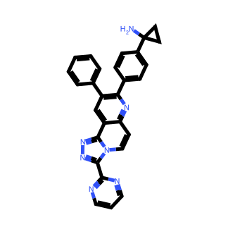 NC1(c2ccc(-c3nc4ccn5c(-c6ncccn6)nnc5c4cc3-c3ccccc3)cc2)CC1